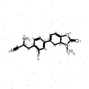 CN1C(=O)OC2=CC=C(c3ccc(CC(N)C#N)c(F)c3)CC21